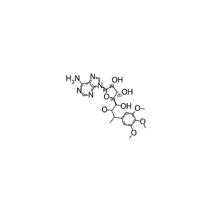 COc1cc(C(C)C([O])C(O)[C@H]2O[C@@H](n3cnc4c(N)ncnc43)[C@H](O)[C@@H]2O)cc(OC)c1OC